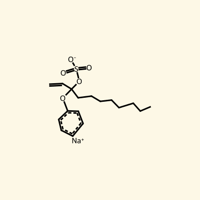 C=CC(CCCCCCCC)(Oc1ccccc1)OS(=O)(=O)[O-].[Na+]